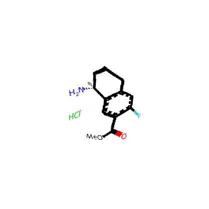 COC(=O)c1cc2c(cc1F)CCC[C@H]2N.Cl